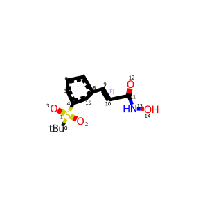 CC(C)(C)S(=O)(=O)c1cccc(/C=C/C(=O)NO)c1